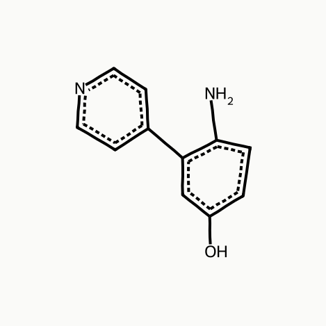 Nc1ccc(O)cc1-c1ccncc1